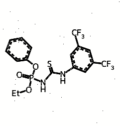 CCOP(=O)(NC(=S)Nc1cc(C(F)(F)F)cc(C(F)(F)F)c1)Oc1ccccc1